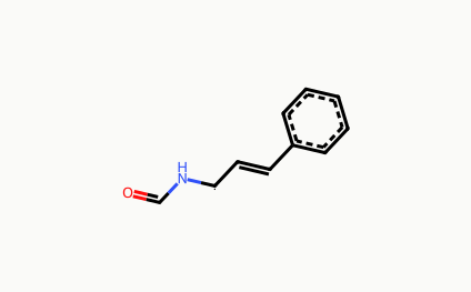 O=CN[CH]/C=C/c1ccccc1